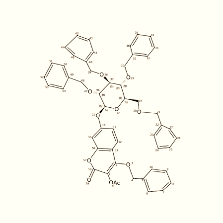 CC(=O)Oc1c(OCc2ccccc2)c2ccc(O[C@@H]3O[C@H](COCc4ccccc4)[C@@H](OCc4ccccc4)[C@H](OCc4ccccc4)[C@H]3OCc3ccccc3)cc2oc1=O